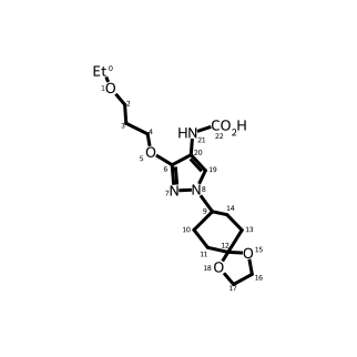 CCOCCCOc1nn(C2CCC3(CC2)OCCO3)cc1NC(=O)O